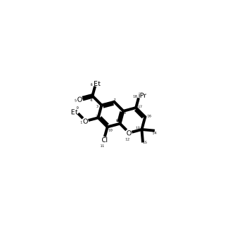 CCOc1c(C(=O)CC)cc2c(c1Cl)OC(C)(C)C=C2C(C)C